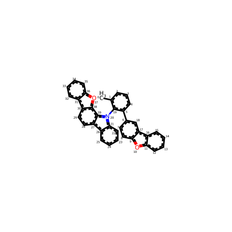 Cc1cccc(-c2ccc3oc4ccccc4c3c2)c1-n1c2ccccc2c2ccc3c4ccccc4oc3c21